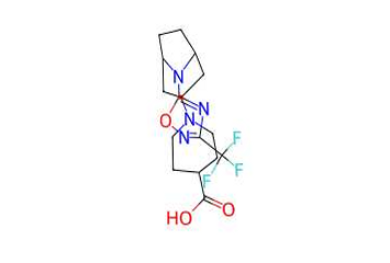 O=C(O)C1CCN(C2CC3CCC(C2)N3c2nc(C(F)(F)F)no2)CC1